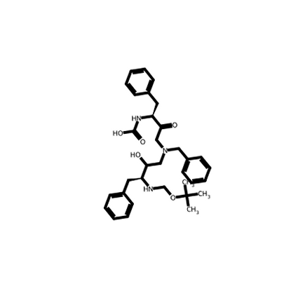 CC(C)(C)OCN[C@@H](Cc1ccccc1)C(O)CN(CC(=O)[C@H](Cc1ccccc1)NC(=O)O)Cc1ccccc1